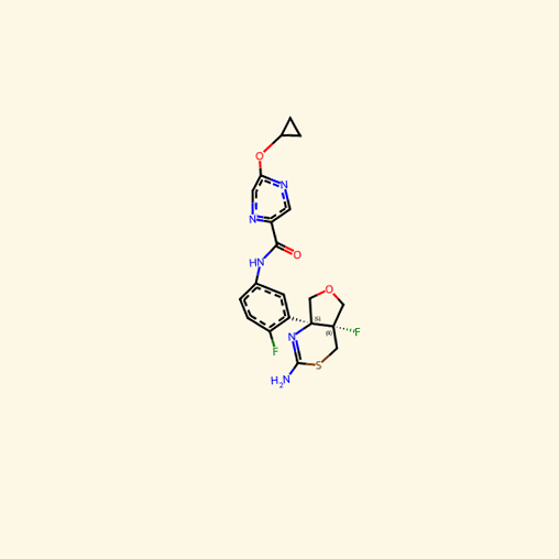 NC1=N[C@@]2(c3cc(NC(=O)c4cnc(OC5CC5)cn4)ccc3F)COC[C@@]2(F)CS1